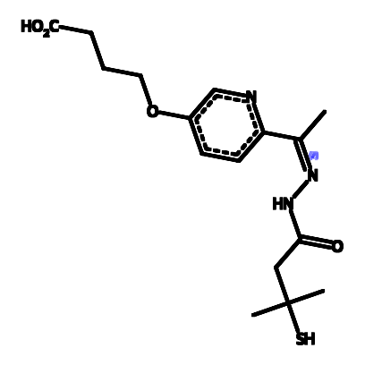 C/C(=N/NC(=O)CC(C)(C)S)c1ccc(OCCCC(=O)O)cn1